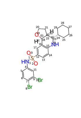 O=S(=O)(Nc1ccc(Br)c(Br)c1)c1ccc2c(c1)[C@H]1OCC[C@H]1[C@H](C1CCCCC1)N2